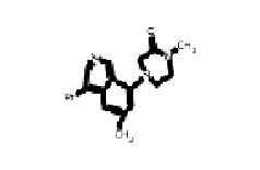 Cc1cc(N2CCN(C)C(=O)C2)c2cncc(C(C)C)c2c1